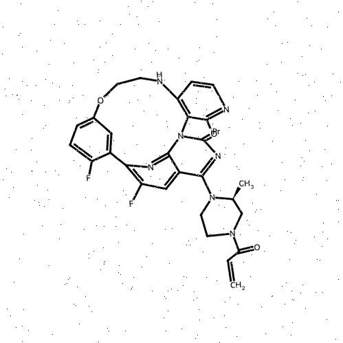 C=CC(=O)N1CCN(c2nc(=O)n3c4nc(c(F)cc24)-c2cc(ccc2F)OCCNc2ccnc(C(C)C)c2-3)[C@@H](C)C1